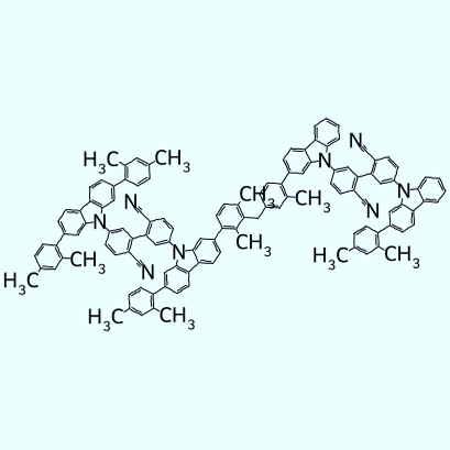 Cc1ccc(-c2ccc3c4ccccc4n(-c4ccc(C#N)c(-c5cc(-n6c7ccccc7c7ccc(-c8ccc(Cc9c(C)ccc(-c%10ccc%11c%12ccc(-c%13ccc(C)cc%13C)cc%12n(-c%12ccc(C#N)c(-c%13cc(-n%14c%15cc(-c%16ccc(C)cc%16C)ccc%15c%15ccc(-c%16ccc(C)cc%16C)cc%15%14)ccc%13C#N)c%12)c%11c%10)c9C)cc8C)cc76)ccc5C#N)c4)c3c2)c(C)c1